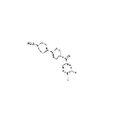 O=C(c1cnc(C2=CCN(C(=O)O)CC2)nc1)c1ccc(Cl)c(F)c1